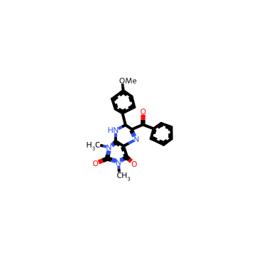 COc1ccc(C2Nc3c(c(=O)n(C)c(=O)n3C)N=C2C(=O)c2ccccc2)cc1